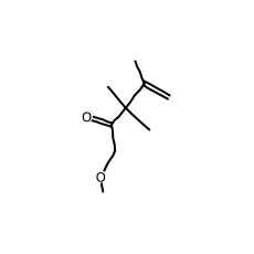 C=C(C)C(C)(C)C(=O)COC